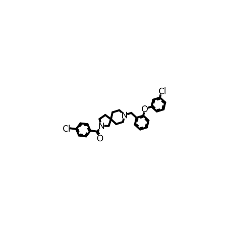 O=C(c1ccc(Cl)cc1)N1CCC2(CCN(Cc3ccccc3Oc3cccc(Cl)c3)CC2)C1